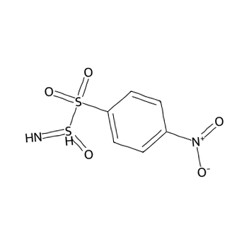 N=[SH](=O)S(=O)(=O)c1ccc([N+](=O)[O-])cc1